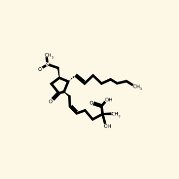 CCCCCC/C=C/[C@H]1[C@H](C[S+](C)[O-])CC(=O)[C@@H]1C/C=C\CCC(C)(O)C(=O)O